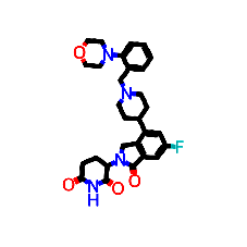 O=C1CCC(N2Cc3c(cc(F)cc3C3CCN(Cc4ccccc4N4CCOCC4)CC3)C2=O)C(=O)N1